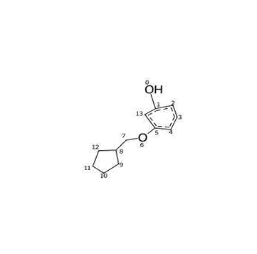 Oc1cccc(OCC2CCCC2)c1